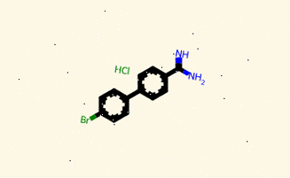 Cl.N=C(N)c1ccc(-c2ccc(Br)cc2)cc1